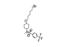 CN(C1CCC(OCCCCCCBr)CC1)S(=O)(=O)c1ccc(C(F)(F)F)cc1